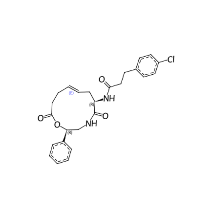 O=C(CCc1ccc(Cl)cc1)N[C@@H]1C/C=C/CCC(=O)O[C@H](c2ccccc2)CNC1=O